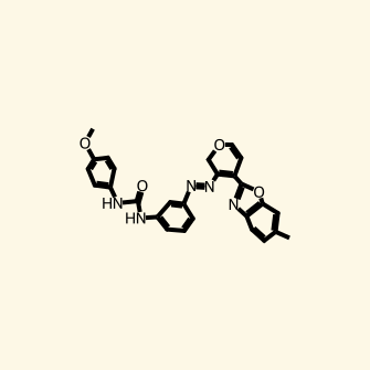 COc1ccc(NC(=O)Nc2cccc(N=NC3=C(c4nc5ccc(C)cc5o4)C=COC3)c2)cc1